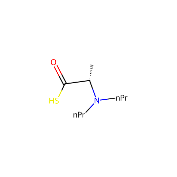 CCCN(CCC)[C@@H](C)C(=O)S